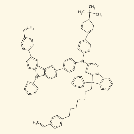 C=Cc1ccc(CCCCCCCC2(c3ccccc3)c3ccccc3-c3ccc(N(c4ccc(C5=CCC(C(C)(C)C)C=C5)cc4)c4ccc(-c5ccc6c(c5)c5cc(-c7ccc(C=C)cc7)ccc5n6-c5ccccc5)cc4)cc32)cc1